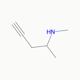 C#CCC(C)NC